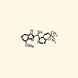 COc1cccc2[nH]c(C(S)c3nccc4c3C=CC(C)(C)O4)nc12